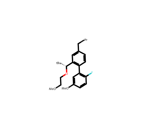 COCCO[C@@H](c1cc(CC(C)C)ccc1-c1cc(OC)ccc1F)C(C)(C)C